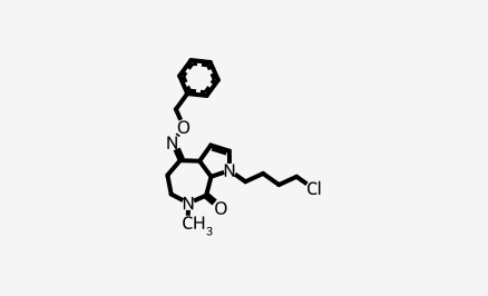 CN1CC/C(=N/OCc2ccccc2)C2C=CN(CCCCCl)C2C1=O